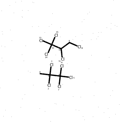 CC(Cl)(Cl)C(Cl)(Cl)Cl.ClCC(Cl)C(Cl)(Cl)Cl